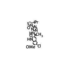 COc1cc2[nH]c(=O)c([C@H](C)Nc3ncnc(N4C(=O)SCC4C(C)C)n3)cc2cc1Cl